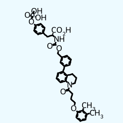 Cc1cccc(OCCCC(=O)N2CCCc3c(-c4cccc(COC(=O)N[C@@H](Cc5ccc(OP(=O)(O)O)cc5)C(=O)O)c4)cccc32)c1C